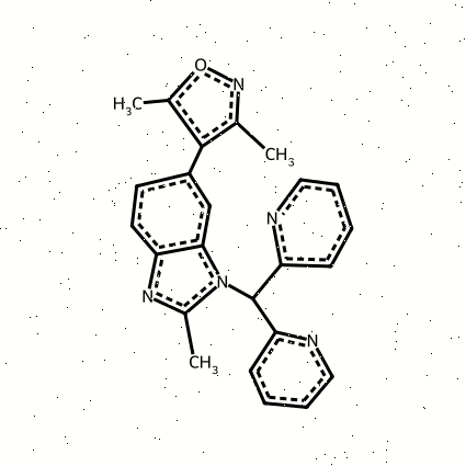 Cc1noc(C)c1-c1ccc2nc(C)n(C(c3ccccn3)c3ccccn3)c2c1